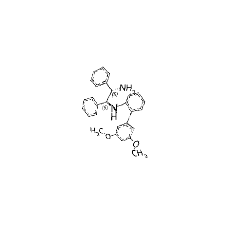 COc1cc(OC)cc(-c2ccccc2N[C@@H](c2ccccc2)[C@@H](N)c2ccccc2)c1